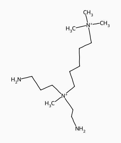 C[N+](C)(C)CCCCC[N+](C)(CCN)CCCN